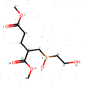 COC(=O)CCC(C[S+]([O-])CCO)C(=O)OC